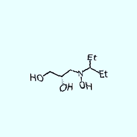 CCC(CC)N(O)C[C@H](O)CO